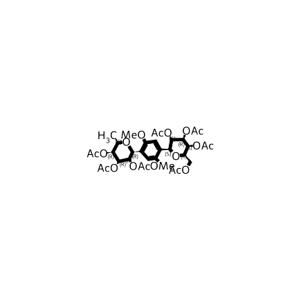 COc1cc([C@@H]2O[C@H](COC(C)=O)[C@H](OC(C)=O)[C@H](OC(C)=O)[C@H]2OC(C)=O)c(OC)cc1[C@H]1O[C@@H](C)[C@@H](OC(C)=O)[C@@H](OC(C)=O)[C@@H]1OC(C)=O